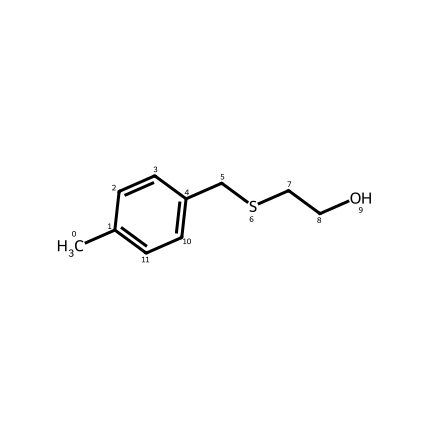 Cc1ccc(CSCCO)cc1